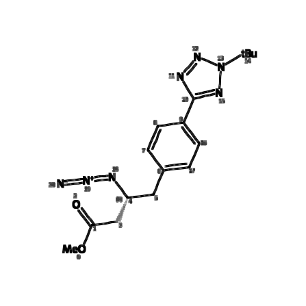 COC(=O)C[C@@H](Cc1ccc(-c2nnn(C(C)(C)C)n2)cc1)N=[N+]=[N-]